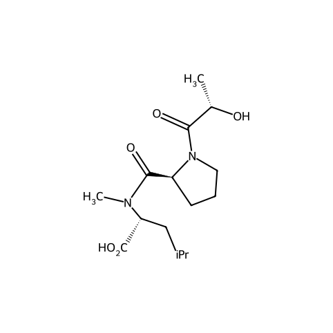 CC(C)C[C@H](C(=O)O)N(C)C(=O)[C@@H]1CCCN1C(=O)[C@H](C)O